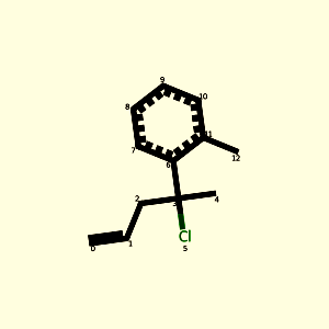 C=CCC(C)(Cl)c1ccccc1C